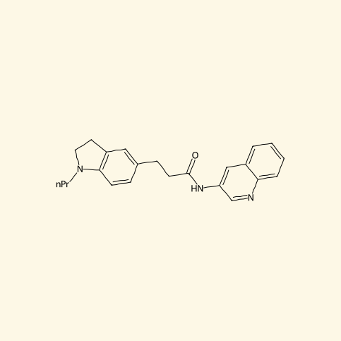 CCCN1CCc2cc(CCC(=O)Nc3cnc4ccccc4c3)ccc21